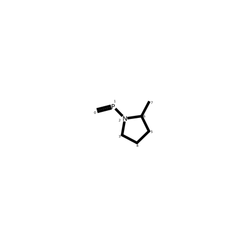 C=PN1CCCC1C